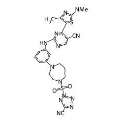 CNc1nc(C)c(-c2nc(Nc3cccc(N4CCCN(S(=O)(=O)n5nnc(C#N)n5)CC4)c3)ncc2C#N)s1